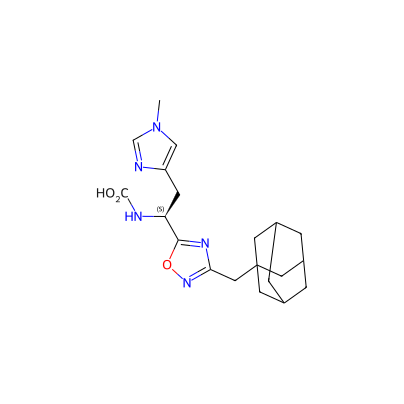 Cn1cnc(C[C@H](NC(=O)O)c2nc(CC34CC5CC(CC(C5)C3)C4)no2)c1